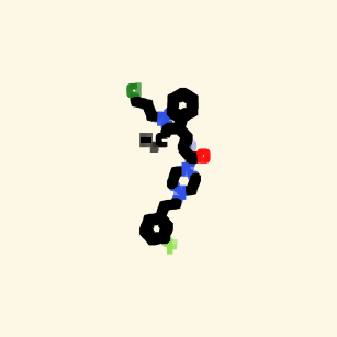 Cc1c(/C=C/C(=O)N2CCN(CCc3cccc(F)c3)CC2)c2ccccc2n1CCCCl